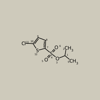 CC(C)OS(=O)(=O)c1ccc(Cl)s1